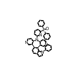 O=P(c1ccccc1)(c1ccccc1)c1cccc(N2c3ccncc3-c3ccc4ccn(-c5ccccc5)c4c3-c3cnccc32)n1